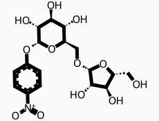 O=[N+]([O-])c1ccc(O[C@H]2O[C@H](CO[C@@H]3O[C@H](CO)[C@@H](O)[C@@H]3O)[C@@H](O)[C@H](O)[C@H]2O)cc1